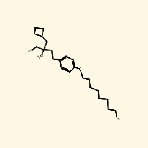 CC(C)CCCCCCCCOc1ccc(CCC(N)(CO)CC2CCC2)cc1